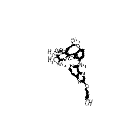 C#CCOc1cnc2c(Nc3ccc4c(c3)[C@@]3(C)N=C(N)C(C)(C)S(=O)(=O)[C@@H]3C[C@H](C)O4)nccc2n1